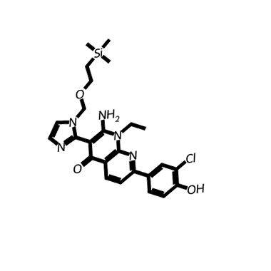 CCn1c(N)c(-c2nccn2COCC[Si](C)(C)C)c(=O)c2ccc(-c3ccc(O)c(Cl)c3)nc21